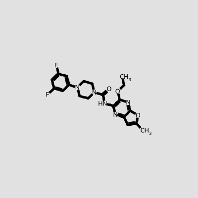 CCOc1nc2oc(C)cc2nc1NC(=O)N1CCN(c2cc(F)cc(F)c2)CC1